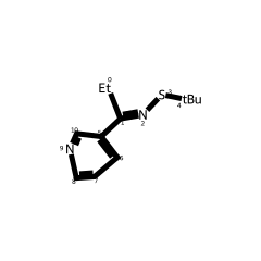 CC/C(=N\SC(C)(C)C)c1cccnc1